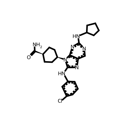 NC(=O)[C@H]1CC[C@@H](n2c(Nc3cccc(Cl)c3)nc3cnc(NC4CCCC4)nc32)CC1